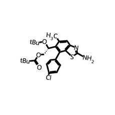 Cc1cc2nc(N)sc2c(-c2ccc(Cl)cc2)c1[C@H](COC(=O)C(C)(C)C)OC(C)(C)C